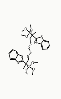 CO[Si](OC)(OC)C(C)(CSSSSCC(C)(c1nc2ccccc2s1)[Si](OC)(OC)OC)c1nc2ccccc2s1